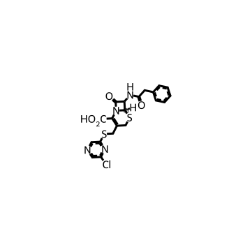 O=C(Cc1ccccc1)NC1C(=O)N2C(C(=O)O)=C(CSc3cncc(Cl)n3)CS[C@@H]12